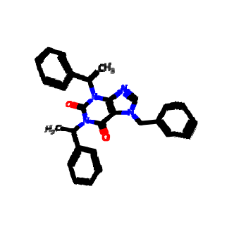 CC(c1ccccc1)n1c(=O)c2c(ncn2Cc2ccccc2)n(C(C)c2ccccc2)c1=O